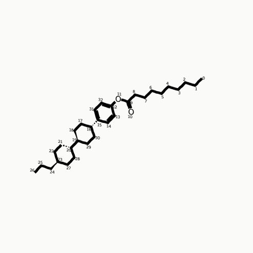 CCCCCCCCCC(=O)Oc1ccc([C@H]2CC[C@H]([C@H]3CC[C@H](CCC)CC3)CC2)cc1